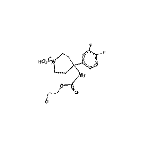 O=C(NC1(c2ccc(F)c(F)c2)CCN(C(=O)O)CC1)OCCCl